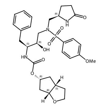 COc1ccc(S(=O)(=O)N(C[C@H]2CCC(=O)N2)C[C@@H](O)[C@H](Cc2ccccc2)NC(=O)O[C@@H]2C[C@@H]3CCO[C@@H]3C2)cc1